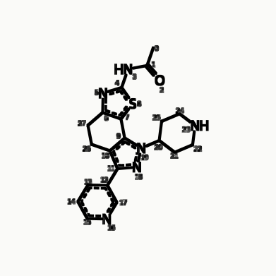 CC(=O)Nc1nc2c(s1)-c1c(c(-c3cccnc3)nn1C1CCNCC1)CC2